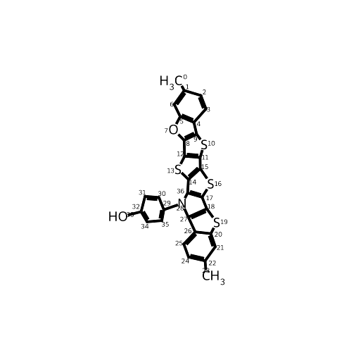 Cc1ccc2c(c1)oc1c2sc2c1sc1c2sc2c3sc4cc(C)ccc4c3n(-c3ccc(O)cc3)c12